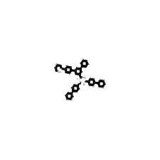 c1ccc(-c2ccc(-c3nc(-c4ccc(-c5ccccc5)cc4)nc(-c4cc(-c5ccccc5)cc(-c5ccc(-c6ccccn6)cc5)c4)n3)cc2)cc1